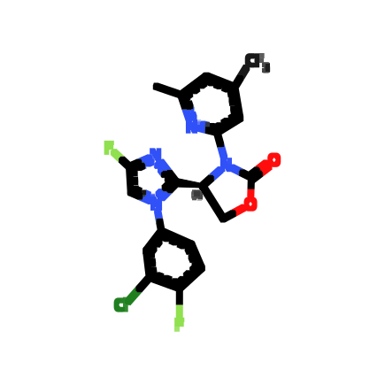 Cc1cc(C(F)(F)F)cc(N2C(=O)OC[C@H]2c2nc(F)cn2-c2ccc(F)c(Cl)c2)n1